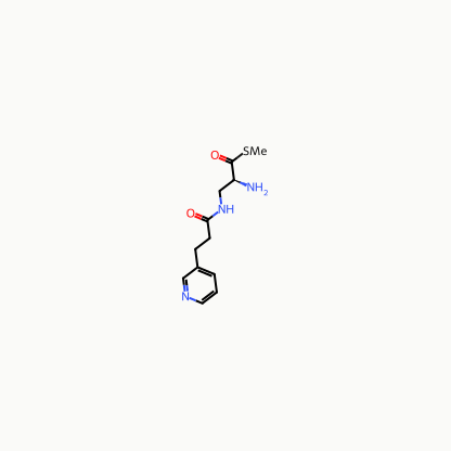 CSC(=O)[C@@H](N)CNC(=O)CCc1cccnc1